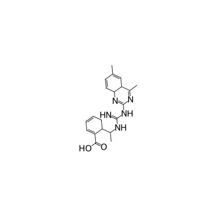 CC1=CC2C(C)=NC(NC(=N)NC(C)C3CC=CC=C3C(=O)O)=NC2C=C1